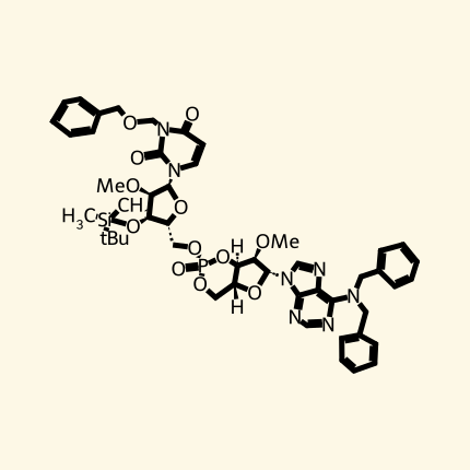 CO[C@@H]1[C@H](O[Si](C)(C)C(C)(C)C)[C@@H](CO[P@]2(=O)OC[C@H]3O[C@@H](n4cnc5c(N(Cc6ccccc6)Cc6ccccc6)ncnc54)[C@H](OC)[C@@H]3O2)O[C@H]1n1ccc(=O)n(COCc2ccccc2)c1=O